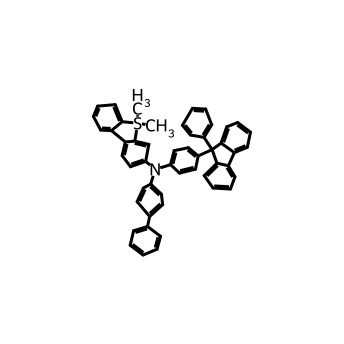 CS1(C)c2ccccc2-c2ccc(N(c3ccc(-c4ccccc4)cc3)c3ccc(C4(c5ccccc5)c5ccccc5-c5ccccc54)cc3)cc21